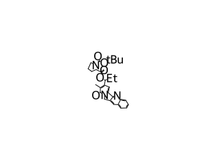 CCC(OC(=O)C1CCCN1C(=O)OC(C)(C)C)c1cc2n(c(=O)c1C)Cc1cc3ccccc3nc1-2